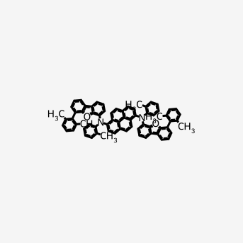 Cc1ccccc1N(c1ccc2ccc3c(N(c4ccccc4C)c4cccc5c4oc4c(-c6c(C)cccc6C)cccc45)ccc4ccc1c2c43)c1cccc2c1oc1c(-c3c(C)cccc3C)cccc12